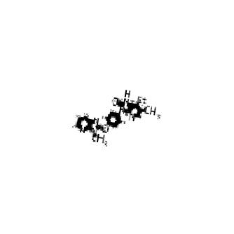 CCc1c(C)cnc2c1[nH]c(=O)n2-c1ccc(Oc2nc3cccnc3n2C)cc1